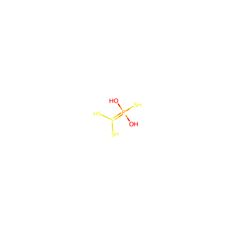 OP(O)(S)=S(S)S